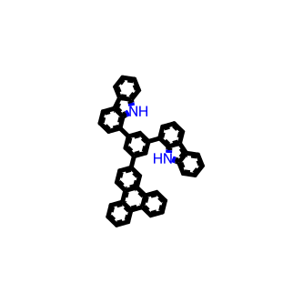 c1ccc2c(c1)[nH]c1c(-c3cc(-c4ccc5c6ccccc6c6ccccc6c5c4)cc(-c4cccc5c4[nH]c4ccccc45)c3)cccc12